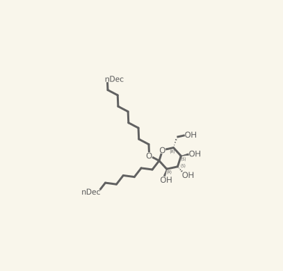 CCCCCCCCCCCCCCCCCCOC1(CCCCCCCCCCCCCCCC)O[C@H](CO)[C@@H](O)[C@H](O)[C@H]1O